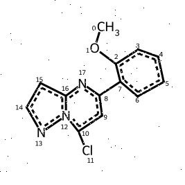 COc1ccccc1-c1cc(Cl)n2nccc2n1